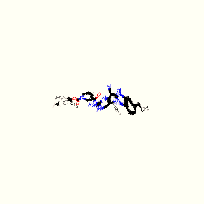 CCc1ccc2c(c1)N/C(=C(\C#N)c1nc(NC(=O)C3CCCN(C(=O)OC(C)(C)C)C3)ncc1C)N2